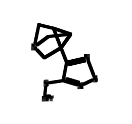 CCCSc1nsnc1C12CN3CC1C2C3